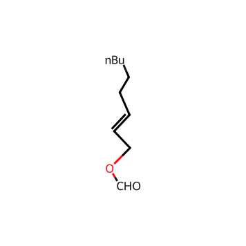 CCCCCCC=CCOC=O